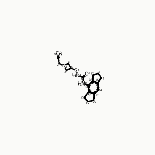 C#CCN1CC(SNC(=O)Nc2c3c(cc4c2CCC4)CCC3)C1